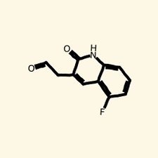 O=CCc1cc2c(F)cccc2[nH]c1=O